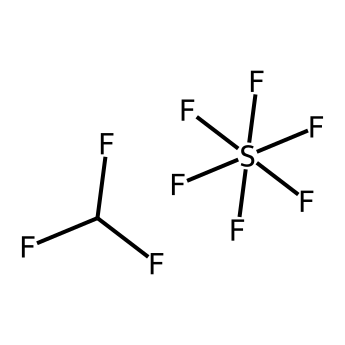 FC(F)F.FS(F)(F)(F)(F)F